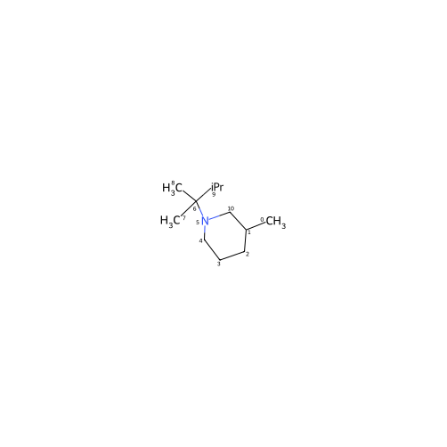 CC1CCCN(C(C)(C)C(C)C)C1